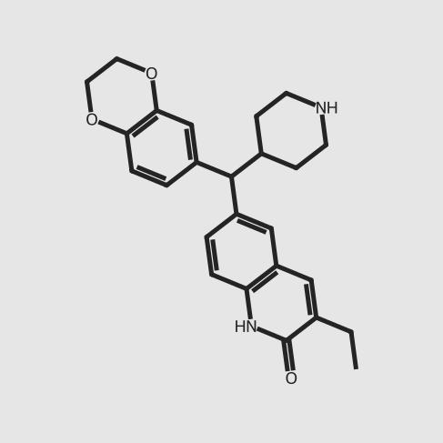 CCc1cc2cc(C(c3ccc4c(c3)OCCO4)C3CCNCC3)ccc2[nH]c1=O